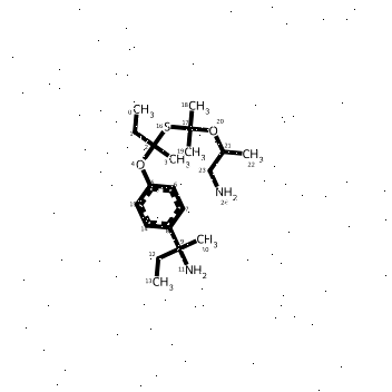 CCC(C)(Oc1ccc(C(C)(N)CC)cc1)SC(C)(C)OC(C)CN